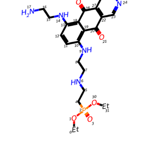 CCOP(=O)(CCNCCNc1ccc(NCCN)c2c1C(=O)c1cnccc1C2=O)OCC